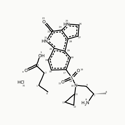 CCCC(=O)O.C[C@H](N)CN(C1CC1)S(=O)(=O)c1ccc2[nH]c(=O)c3[nH]ccc3c2c1.Cl